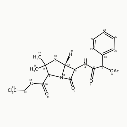 CC(=O)OC(C(=O)NC1C(=O)N2C(C(=O)OCC(Cl)(Cl)Cl)C(C)(C)S[C@H]12)c1ccccc1